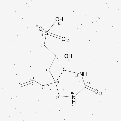 C=CCC1(CC(O)CS(=O)(=O)O)CNC(=O)NC1